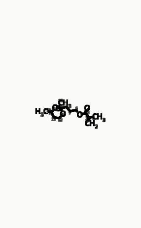 C=C(C)C(=O)OCCC[Si]1(C)OCCC(C)O1